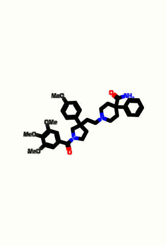 COc1ccc(C2(CCN3CCC(C(N)=O)(c4ccccc4)CC3)CCN(C(=O)c3cc(OC)c(OC)c(OC)c3)C2)cc1